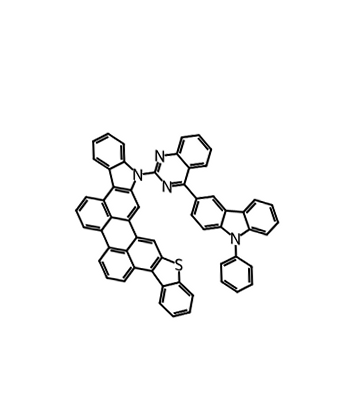 c1ccc(-n2c3ccccc3c3cc(-c4nc(-n5c6ccccc6c6c7cccc8c9cccc%10c%11c(cc(c(cc65)c87)c9%10)sc5ccccc5%11)nc5ccccc45)ccc32)cc1